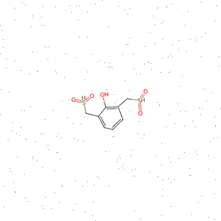 O=[SH](=O)Cc1cccc(C[SH](=O)=O)c1O